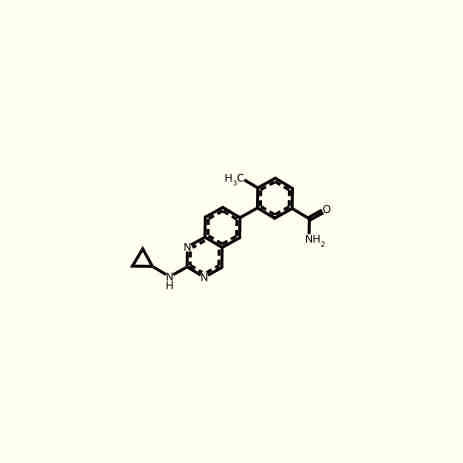 Cc1ccc(C(N)=O)cc1-c1ccc2nc(NC3CC3)ncc2c1